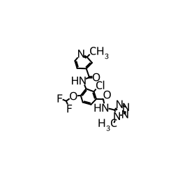 Cc1cc(C(=O)Nc2c(OC(F)F)ccc(C(=O)Nc3nnnn3C)c2Cl)ccn1